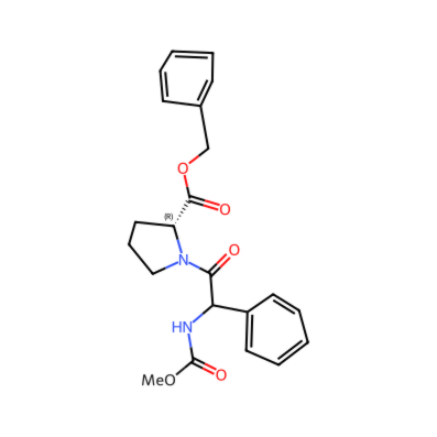 COC(=O)NC(C(=O)N1CCC[C@@H]1C(=O)OCc1ccccc1)c1ccccc1